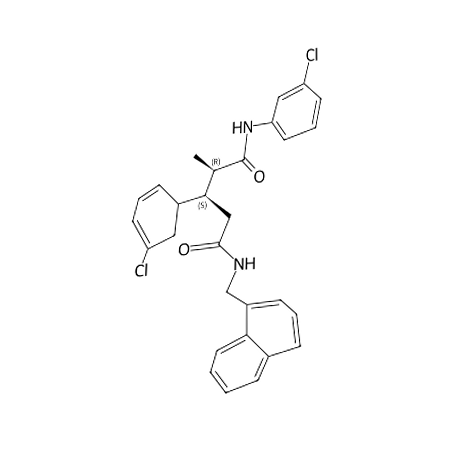 C[C@@H](C(=O)Nc1cccc(Cl)c1)[C@@H](CC(=O)NCc1cccc2ccccc12)C1C=CC=C(Cl)C1